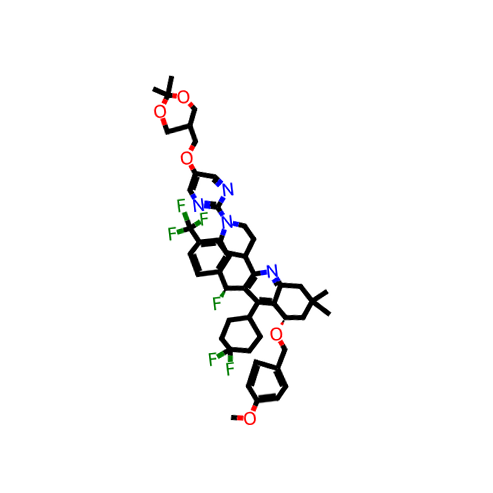 COc1ccc(CO[C@H]2CC(C)(C)Cc3nc(C4CCN(c5ncc(OCC6COC(C)(C)OC6)cn5)CC4)c([C@@H](F)c4ccc(C(F)(F)F)cc4)c(C4CCC(F)(F)CC4)c32)cc1